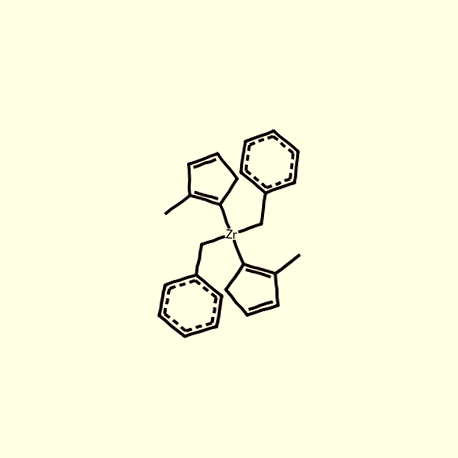 CC1=[C]([Zr]([CH2]c2ccccc2)([CH2]c2ccccc2)[C]2=C(C)C=CC2)CC=C1